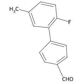 Cc1ccc(F)c(-c2ccc(C=O)cc2)c1